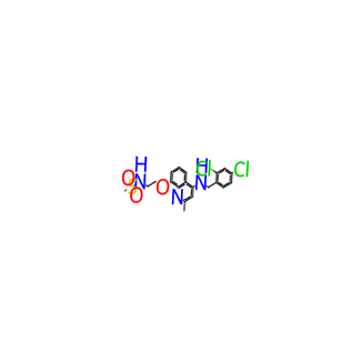 Cc1cc(NCc2ccc(Cl)cc2Cl)c2cccc(OCCNS(C)(=O)=O)c2n1